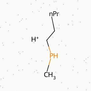 CCCCCPC.[H+]